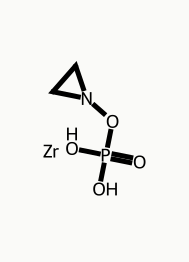 O=P(O)(O)ON1CC1.[Zr]